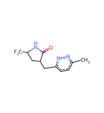 Cc1ccc(CC2CC(C(F)(F)F)NC2=O)nn1